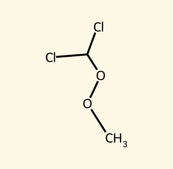 COOC(Cl)Cl